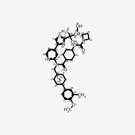 COc1ccc(C23CCC(CN(C(=O)C4CCC(OC(=O)N5CC[C@H]5CO)CC4)c4cc(-c5coc(C(C)(C)C)n5)ccn4)(CC2)CC3)cc1C